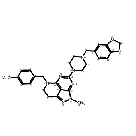 COc1ccc(CN2CCc3nn(C)c4nc(N5CCN(Cc6ccc7c(c6)OCO7)CC5)nc2c34)cc1